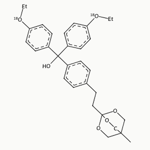 CC12COC(CCc3ccc(C(O)(c4ccc([18O][13CH2][13CH3])cc4)c4ccc([18O][13CH2][13CH3])cc4)cc3)(OC1)OC2